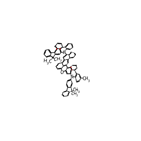 Cc1ccc(N(c2ccc3c(c2)Oc2cccc4c2c-3cc2c3ccccc3c(B(c3ccc5c(c3)C(C)(C)c3ccccc3-5)c3ccccc3-c3ccccc3)cc42)c2ccc3c(c2)C(C)(C)c2ccccc2-3)c(-c2ccccc2)c1